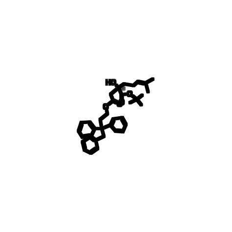 CC(C)=CCC[C@@](O)(CC(=O)OCCC(Cc1ccccc1)(c1ccccc1)c1ccccc1)C(=O)OC(C)(C)C